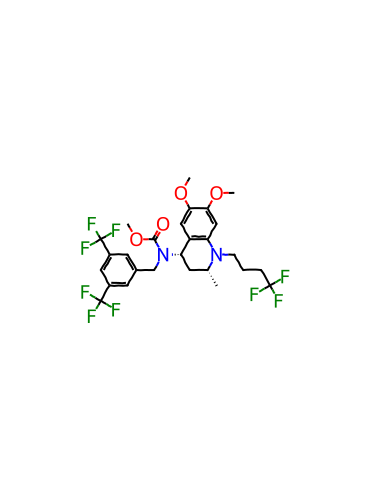 COC(=O)N(Cc1cc(C(F)(F)F)cc(C(F)(F)F)c1)[C@H]1C[C@@H](C)N(CCCC(F)(F)F)c2cc(OC)c(OC)cc21